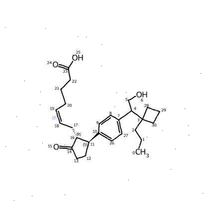 CCCC1(C(CO)c2ccc([C@H]3CCC(=O)[C@@H]3C/C=C\CCCC(=O)O)cc2)CCC1